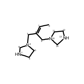 CC=C(CN1CCNC1)CN1CCNC1